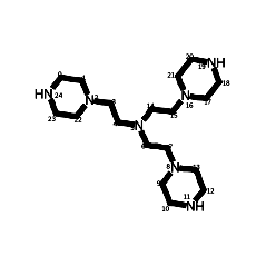 C1CN(CCN(CCN2CCNCC2)CCN2CCNCC2)CCN1